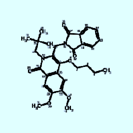 CCCCOc1c(CN2C(=O)c3ccccc3C2=O)n(CC(C)(C)C)c(=O)c2cc(OC)c(OC)cc12